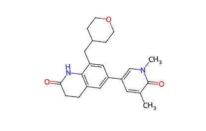 Cc1cc(-c2cc3c(c(CC4CCOCC4)c2)NC(=O)CC3)cn(C)c1=O